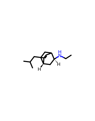 CCN[C@H]1C[C@@H]2CCC1C=C2CC(C)C